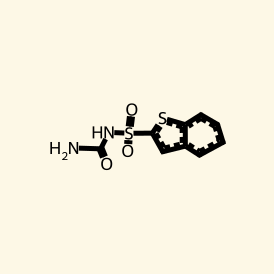 NC(=O)NS(=O)(=O)c1cc2ccccc2s1